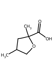 CC1COC(C)(C(=O)O)C1